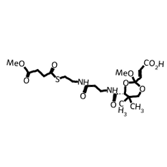 COC(=O)CCC(=O)SCCNC(=O)CCNC(=O)[C@@H]1OC(/C=C/C(=O)O)(OC)OCC1(C)C